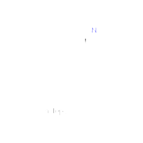 CCCCCCCCCCCCCCCCC=C[N]